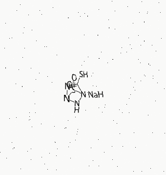 O=S1(=O)N2N=C(S)N1N2.[NaH]